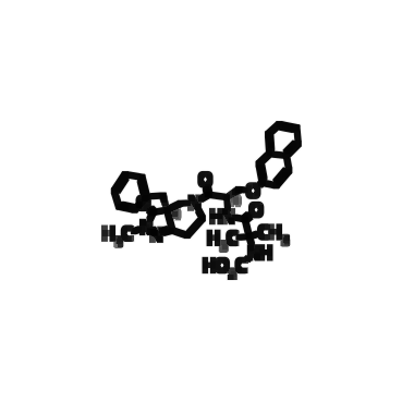 CN1N=C2CCN(C(=O)[C@@H](COc3ccc4ccccc4c3)NC(=O)C(C)(C)NC(=O)O)C[C@@]2(Cc2ccccc2)C1=O